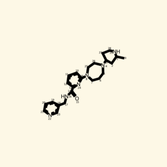 CC1CC(N2CCCN(c3cccc(C(=O)NCc4cccnc4)n3)CC2)CCN1